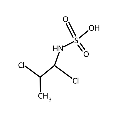 CC(Cl)C(Cl)NS(=O)(=O)O